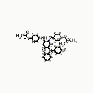 CC(=O)Nc1ccc(Nc2cc3nc4ccccc4n(-c4ccc(F)cc4)c-3c/c2=N\C2CCN(CC(C)C)CC2)cn1